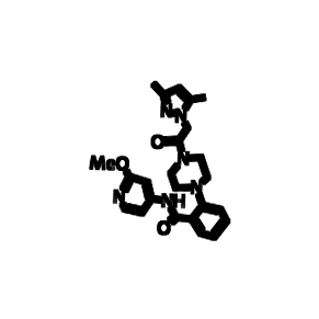 COc1cc(NC(=O)c2ccccc2N2CCN(C(=O)Cn3nc(C)cc3C)CC2)ccn1